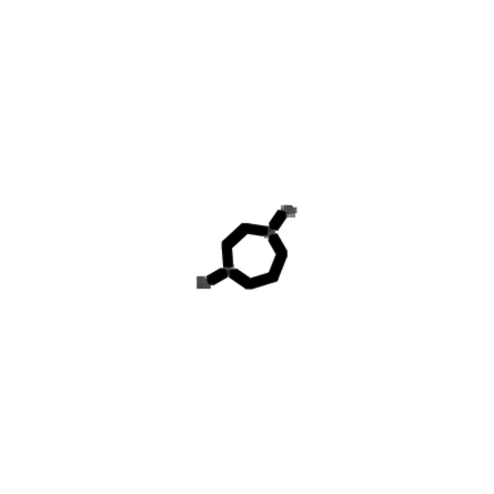 CCN1CCCN(C(C)C)CC1